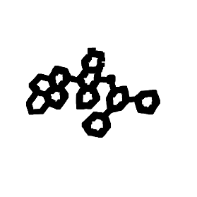 C1=C2CCCc3ccc4c(-c5c6ccccc6c(Oc6cc(-c7ccccc7)cc(-c7ccccc7)c6)c6ccncc56)ccc(c4c32)C1